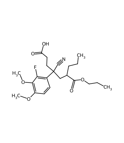 CCCOC(=O)C(CCC)CC(C#N)(CCC(=O)O)c1ccc(OC)c(OC)c1F